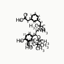 CC(C)(Cc1cccc(CC(=O)O)c1)NC[C@@H](O[Si](C)(C)C(C)(C)C)c1ccc(O)c(CO)c1